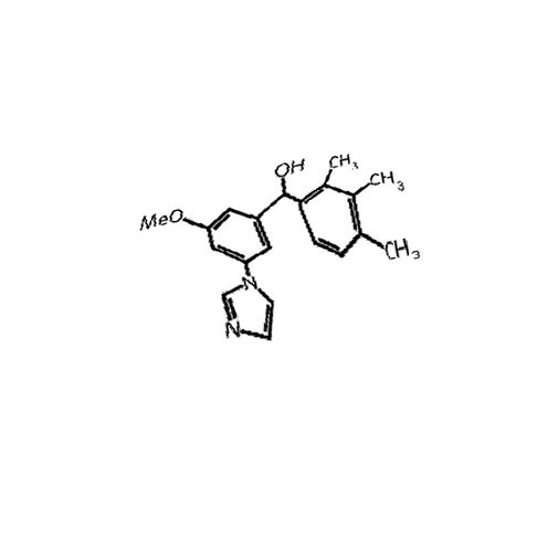 COc1cc(C(O)c2ccc(C)c(C)c2C)cc(-n2ccnc2)c1